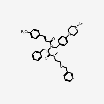 CC(=O)N1CCN(c2ccc(CN(C(=O)C=Cc3ccc(C(F)(F)F)cc3)[C@@H](Cc3ccccc3)C(=O)N(C)CCOCc3cccnc3)cc2)CC1